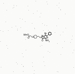 COC(=O)CCN1CCC(CCn2nc3c(Br)c(-c4ccccc4)nc(N)n3c2=O)CC1